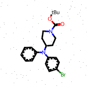 CC(C)(C)OC(=O)N1CCC(N(c2ccccc2)c2ccc(Br)cc2)CC1